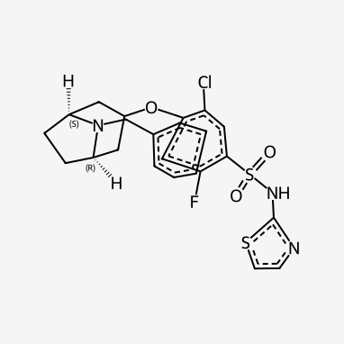 O=S(=O)(Nc1nccs1)c1cc(Cl)c(OC2C[C@H]3CC[C@@H](C2)N3Cc2ccccc2)cc1F